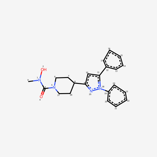 CN(O)C(=O)N1CCC(c2cc(-c3ccccc3)n(-c3ccccc3)n2)CC1